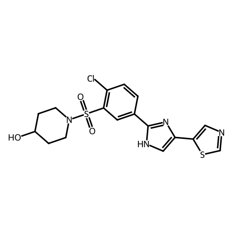 O=S(=O)(c1cc(-c2nc(-c3cncs3)c[nH]2)ccc1Cl)N1CCC(O)CC1